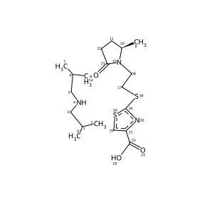 CC(C)CNCC(C)C.C[C@@H]1CCC(=O)N1CCSc1nc(C(=O)O)cs1